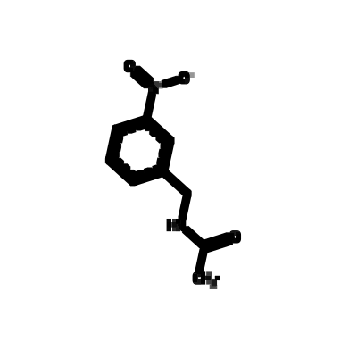 [CH2]C(=O)NCc1cccc([N+](=O)[O-])c1